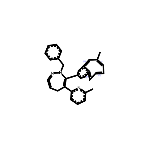 CC1=C/C=C/C=c2\ccc(C3=C(c4cccc(C)n4)CC=C=NN3Cc3ccccc3)c\c2=C\1